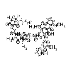 CCCCCCC(C)(I)C1CC(=O)N(CCC(=O)N[C@@H](C)C(=O)N[C@@H](C)C(=O)N(C)CCNC(=O)[C@@H]2Cc3c(O)c4c(c(O)c3[C@@H](O[C@H]3CC[C@H](O[C@@H]5COCCN5)[C@H](C)O3)C2)C(=O)c2c(OC)cccc2C4=O)C1=O